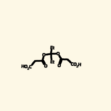 CCC(CC)(OC(=O)CC(=O)O)OC(=O)CC(=O)O